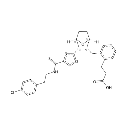 O=C(O)CCc1ccccc1C[C@@H]1[C@H](c2nc(C(=S)NCCc3ccc(Cl)cc3)co2)[C@H]2CC[C@@H]1O2